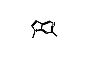 Cc1cc2c(ccn2C)cn1